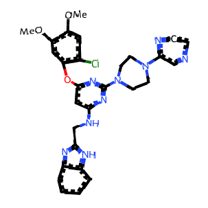 COc1cc(Cl)c(Oc2cc(NCc3nc4ccccc4[nH]3)nc(N3CCN(c4cnccn4)CC3)n2)cc1OC